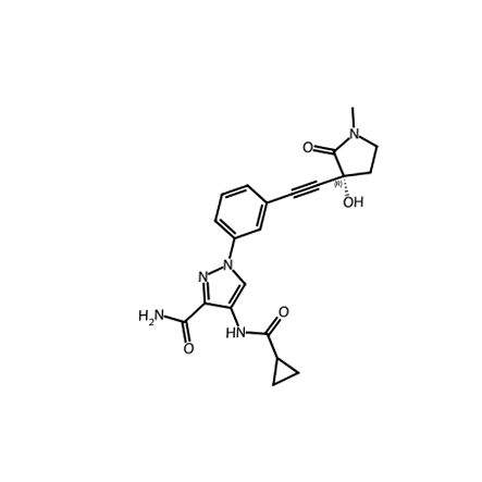 CN1CC[C@@](O)(C#Cc2cccc(-n3cc(NC(=O)C4CC4)c(C(N)=O)n3)c2)C1=O